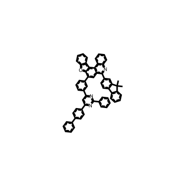 CC1(C)c2ccccc2-c2ccc(-c3nc4ccccc4c4c3cc(-c3cccc(-c5cc(-c6ccc(-c7ccccc7)cc6)nc(-c6ccccc6)n5)c3)c3oc5ccccc5c34)cc21